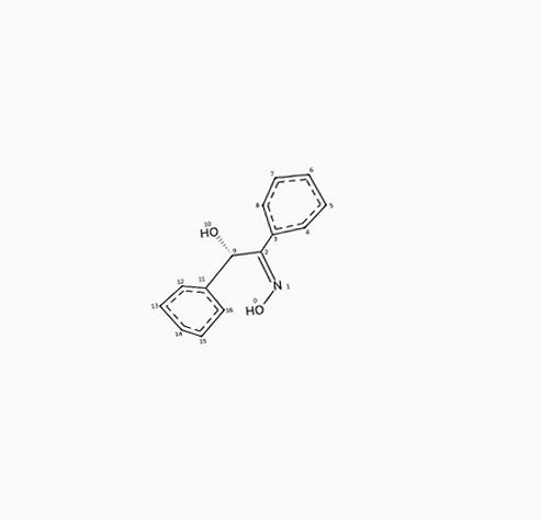 ON=C(c1ccccc1)[C@@H](O)c1ccccc1